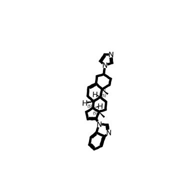 C[C@]12CCC(n3ccnc3)CC1=CC[C@@H]1[C@@H]2CC[C@]2(C)C(n3cnc4ccccc43)=CC[C@@H]12